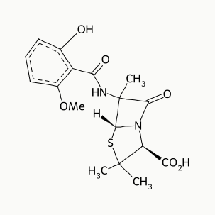 COc1cccc(O)c1C(=O)NC1(C)C(=O)N2[C@@H](C(=O)O)C(C)(C)S[C@@H]21